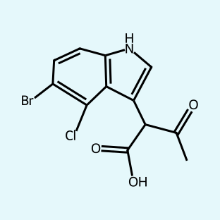 CC(=O)C(C(=O)O)c1c[nH]c2ccc(Br)c(Cl)c12